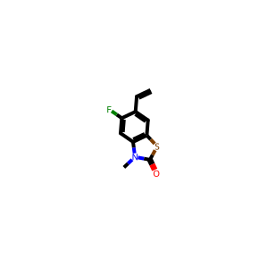 C=Cc1cc2sc(=O)n(C)c2cc1F